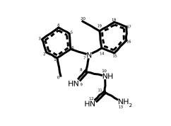 Cc1ccccc1N(C(=N)NC(=N)N)c1ccccc1C